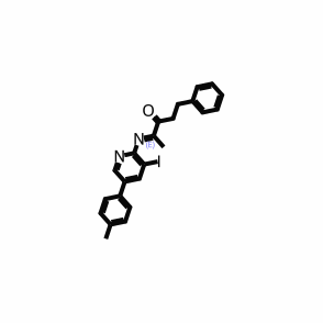 C/C(=N\c1ncc(-c2ccc(C)cc2)cc1I)C(=O)CCc1ccccc1